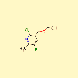 CCOCc1cc(F)c(C)nc1Cl